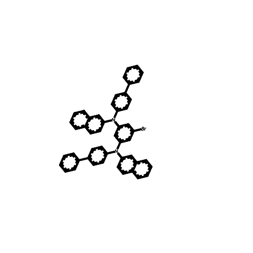 Brc1cc(N(c2ccc(-c3ccccc3)cc2)c2ccc3ccccc3c2)cc(N(c2ccc(-c3ccccc3)cc2)c2ccc3ccccc3c2)c1